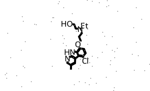 CCN(CCO)CCCOc1ccc(Cl)c2c1[nH]c1ncc(C)cc12